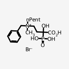 CCCCC[N+](C)(CCC(O)(C(=O)O)P(=O)(O)O)Cc1ccccc1.[Br-]